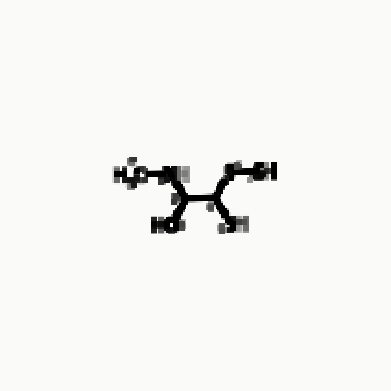 CNC(O)C(S)SS